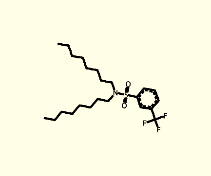 CCCCCCCCN(CCCCCCCC)S(=O)(=O)c1cccc(C(F)(F)F)c1